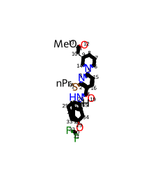 CCCSc1nc(N2CCC[C@@H](CC(=O)OC)C2)ccc1C(=O)N[C@H]1C2CC3CC1C[C@@](OC(F)F)(C3)C2